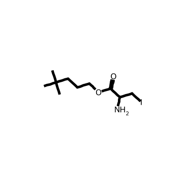 CC(C)(C)CCCOC(=O)C(N)CI